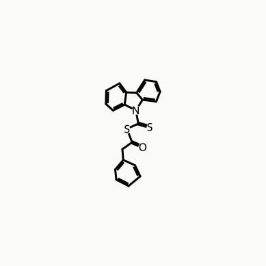 O=C(Cc1ccccc1)SC(=S)n1c2ccccc2c2ccccc21